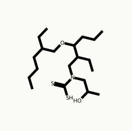 CCCCC(CC)COC(CCC)C(CC)CN(CC(C)O)C(=S)S